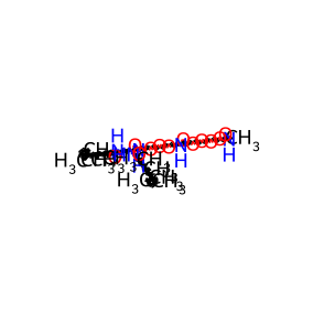 CNC(=O)COCCOCCOCCOCCC(=O)NCCCOCCOCCOCCCNC(=O)[C@@H](CCCCNC(=O)/C=C(C)/C=C/C=C(C)/C=C/C1=C(C)CCCC1(C)C)NC(=O)/C=C(C)/C=C/C=C(C)/C=C/C1C(C)CCCC1(C)C